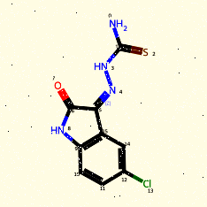 NC(=S)N/N=C1\C(=O)Nc2ccc(Cl)cc21